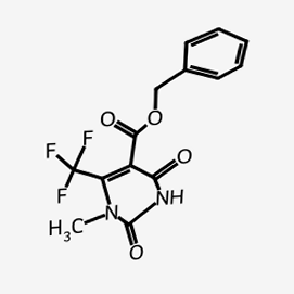 Cn1c(C(F)(F)F)c(C(=O)OCc2ccccc2)c(=O)[nH]c1=O